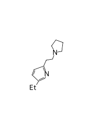 CCc1ccc(CCN2CCCC2)nc1